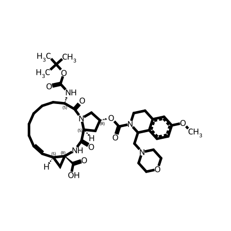 COc1ccc2c(c1)CCN(C(=O)O[C@@H]1C[C@H]3C(=O)N[C@]4(C(=O)O)C[C@H]4C=CCCCCC[C@H](NC(=O)OC(C)(C)C)C(=O)N3C1)C2CN1CCOCC1